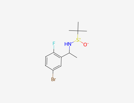 CC(N[S+]([O-])C(C)(C)C)c1cc(Br)ccc1F